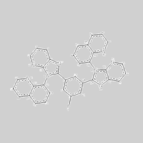 Fc1cc(-c2nc3cccnc3n2-c2cccc3cccnc23)cc(-c2nc3cccnc3n2-c2cccc3cccnc23)c1